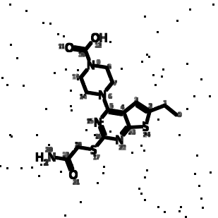 CCc1cc2c(N3CCN(C(=O)O)CC3)nc(SCC(N)=O)nc2s1